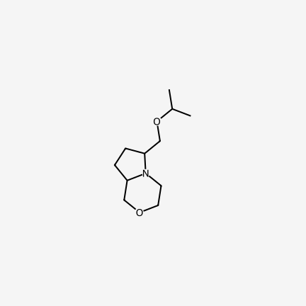 CC(C)OCC1CCC2COCCN21